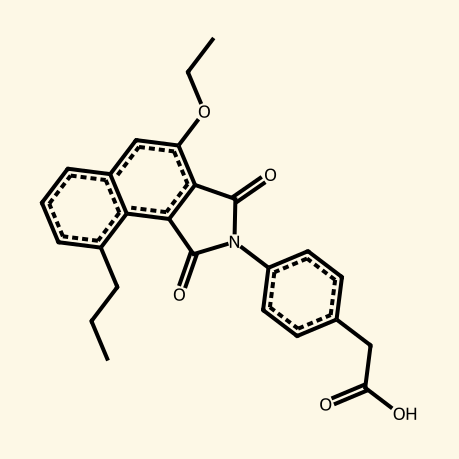 CCCc1cccc2cc(OCC)c3c(c12)C(=O)N(c1ccc(CC(=O)O)cc1)C3=O